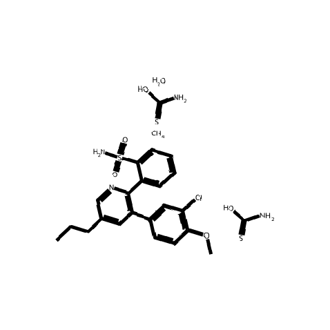 C.CCCc1cnc(-c2ccccc2S(N)(=O)=O)c(-c2ccc(OC)c(Cl)c2)c1.NC(O)=S.NC(O)=S.O